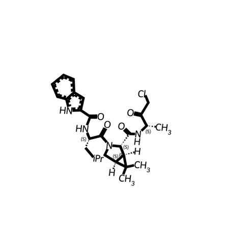 CC(C)C[C@H](NC(=O)c1cc2ccccc2[nH]1)C(=O)N1C[C@H]2[C@@H]([C@H]1C(=O)N[C@@H](C)C(=O)CCl)C2(C)C